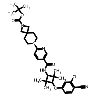 CC(C)(C)OC(=O)N1CC2(CCN(c3ccc(C(=O)NC4C(C)(C)C(Oc5ccc(C#N)c(Cl)c5)C4(C)C)cn3)CC2)C1